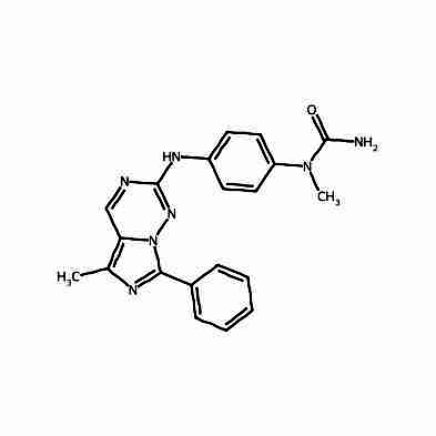 Cc1nc(-c2ccccc2)n2nc(Nc3ccc(N(C)C(N)=O)cc3)ncc12